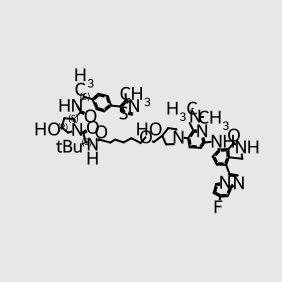 Cc1ncsc1-c1ccc([C@H](C)NC(=O)[C@@H]2C[C@@H](O)CN2C(=O)[C@@H](NC(=O)CCCCCOCC2(O)CCN(c3ccc(Nc4ccc(-c5cnc6cc(F)ccn56)c5c4C(=O)NC5)nc3CN(C)C)CC2)C(C)(C)C)cc1